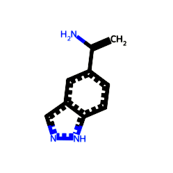 C=C(N)c1ccc2[nH]ncc2c1